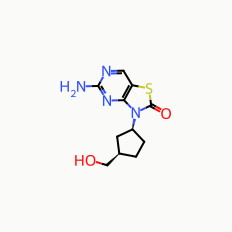 Nc1ncc2sc(=O)n([C@H]3CC[C@@H](CO)C3)c2n1